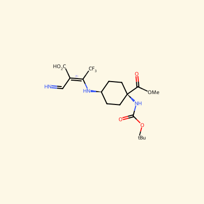 COC(=O)[C@]1(NC(=O)OC(C)(C)C)CC[C@@H](N/C(=C(\C=N)C(=O)O)C(F)(F)F)CC1